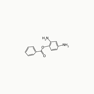 Nc1ccc(OC(=O)c2ccccc2)c(N)c1